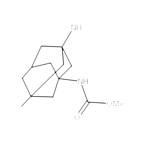 COC(=O)NC12CC3CC(C)(CC(N)(C3)C1)C2